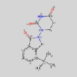 CC(C)(C)c1cccc2c1CN(N1CCC(=O)NC1=O)C2=O